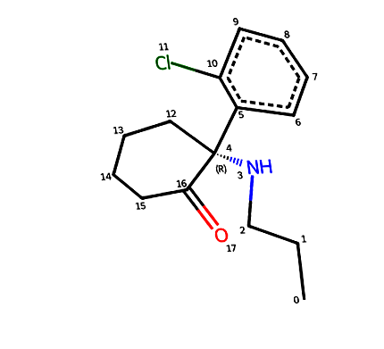 CCCN[C@@]1(c2ccccc2Cl)CCCCC1=O